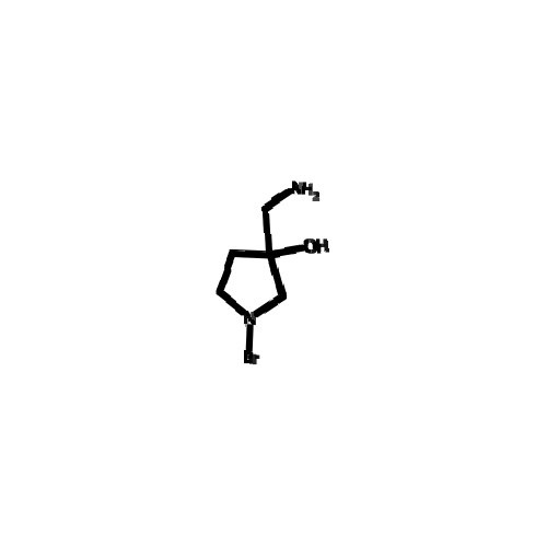 NCC1(O)CCN(Br)C1